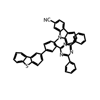 N#Cc1ccc2c3ccccc3n(-c3ccc(-c4ccc5sc6ccccc6c5c4)cc3-c3nc(-c4ccccc4)nc(-c4ccccc4)n3)c2c1